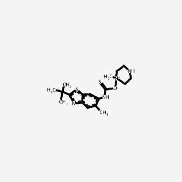 Cc1cc2nc(C(C)(C)C)sc2cc1NC(=S)O[N+]1(C)CCNCC1